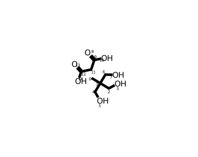 CC(CO)(CO)CO.O=C(O)CC(=O)O